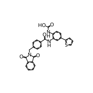 O=C(O)Nc1ccc(-c2cccs2)cc1NC(=O)c1ccc(CN2C(=O)c3ccccc3C2=O)cc1